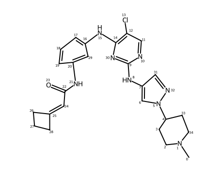 CN1CCC(n2cc(Nc3ncc(Cl)c(Nc4cccc(NC(=O)C=C5CCC5)c4)n3)cn2)CC1